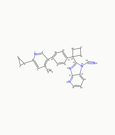 Cc1cc(C2CC2)ncc1-c1ccc(C2(c3nc4ncccc4n3C#N)CCC2)cc1